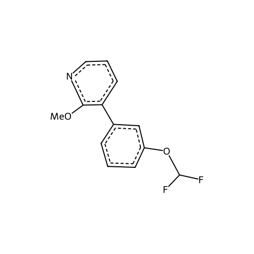 COc1ncccc1-c1cccc(OC(F)F)c1